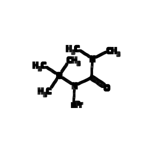 CCCN(C(=O)N(C)C)[Si](C)(C)C